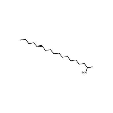 CCCCC=CCCCCCCCCCCC(C)[NH]